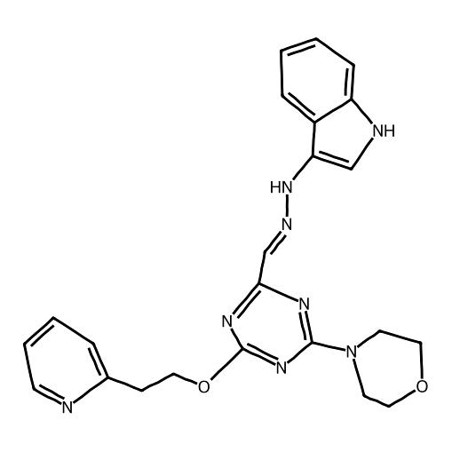 C(=NNc1c[nH]c2ccccc12)c1nc(OCCc2ccccn2)nc(N2CCOCC2)n1